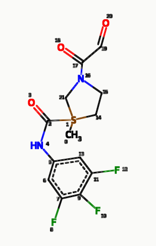 CS1(C(=O)Nc2cc(F)c(F)c(F)c2)CCN(C(=O)C=O)C1